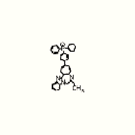 CCC1=NC2=C(CC=C(c3ccc(P(=O)(c4ccccc4)c4ccccc4)cc3)C=C2)c2nc3ccccc3n2C1